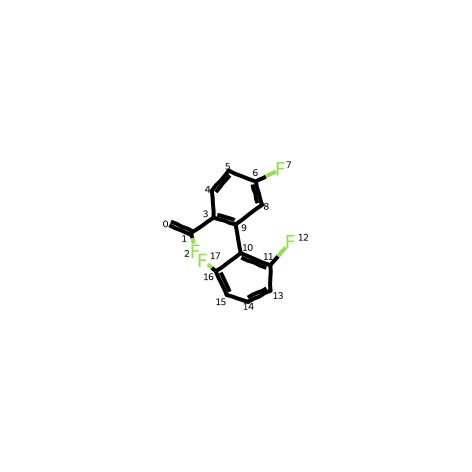 C=C(F)c1ccc(F)cc1-c1c(F)cccc1F